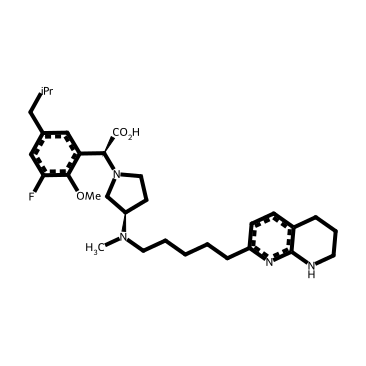 COc1c(F)cc(CC(C)C)cc1[C@@H](C(=O)O)N1CC[C@@H](N(C)CCCCCc2ccc3c(n2)NCCC3)C1